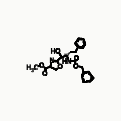 COC(=O)C1COC(C(O)[C@H](CCc2ccccc2)NC(=O)OCc2ccccc2)=N1